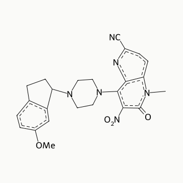 COc1ccc2c(c1)C(N1CCN(c3c([N+](=O)[O-])c(=O)n(C)c4ccc(C#N)nc34)CC1)CC2